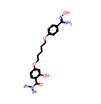 CC(C)N(C(=O)c1ccc(OCCCCCOc2ccc(C(N)=NO)cc2)cc1O)C(C)C